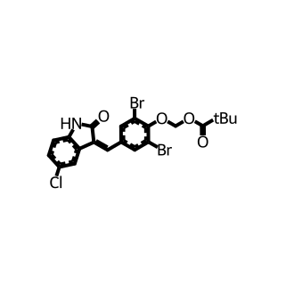 CC(C)(C)C(=O)OCOc1c(Br)cc(C=C2C(=O)Nc3ccc(Cl)cc32)cc1Br